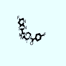 C[C@@H]1c2nnc(-c3nc4ncc(F)cc4s3)n2CCN1C(=O)c1ccc(F)cc1